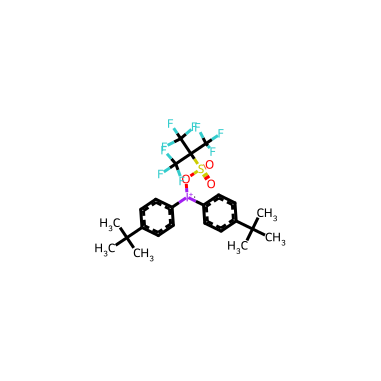 CC(C)(C)c1ccc([I+](OS(=O)(=O)C(C(F)(F)F)(C(F)(F)F)C(F)(F)F)c2ccc(C(C)(C)C)cc2)cc1